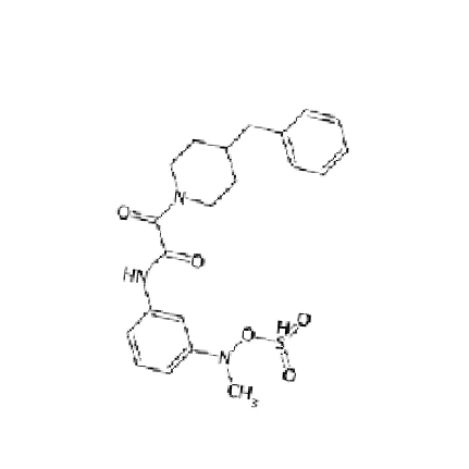 CN(O[SH](=O)=O)c1cccc(NC(=O)C(=O)N2CCC(Cc3ccccc3)CC2)c1